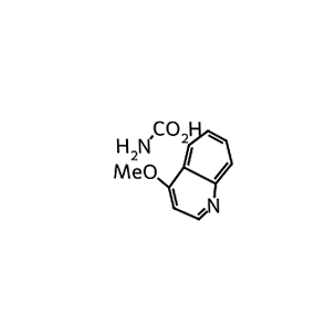 COc1ccnc2ccccc12.NC(=O)O